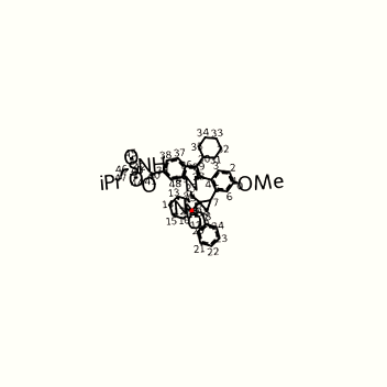 COc1ccc2c(c1)C1CC1(C(=O)N1C3CC1CN(Cc1ccccc1)C3)Cn1c-2c(C2CCCCC2)c2ccc(C(=O)NS(=O)(=O)CC(C)C)cc21